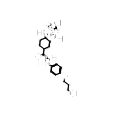 CCCCOc1ccc(NNC(=O)C2CCC(NS(=O)(=O)C(C)C)CC2)cc1